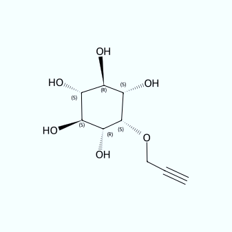 C#CCO[C@@H]1[C@H](O)[C@@H](O)[C@H](O)[C@@H](O)[C@@H]1O